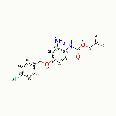 CC(C)COC(=O)Nc1ccc(OCc2ccc(F)cc2)cc1N